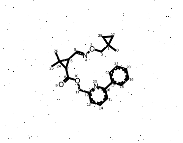 CC1(CON=CC2C(C(=O)OCc3cccc(-c4ccccc4)n3)C2(C)C)CC1